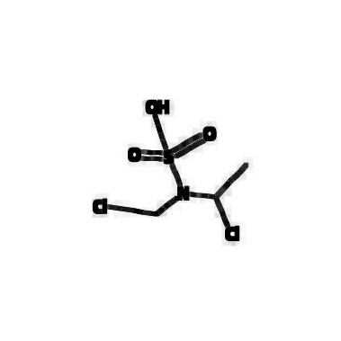 CC(Cl)N(CCl)S(=O)(=O)O